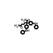 NC(=O)CCCC(C(N)=O)(c1ccc(Nc2ccccc2)cc1)c1ccc(Nc2ccccc2)cc1